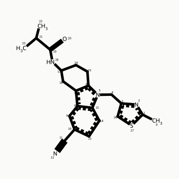 Cc1nc(Cn2c3c(c4cc(C#N)ccc42)CC(NC(=O)C(C)C)CC3)cs1